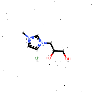 Cn1cc[n+](CC(O)CO)c1.[Cl-]